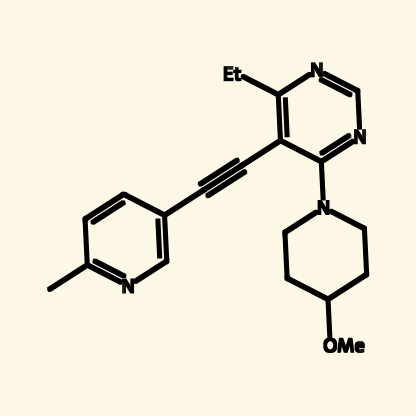 CCc1ncnc(N2CCC(OC)CC2)c1C#Cc1ccc(C)nc1